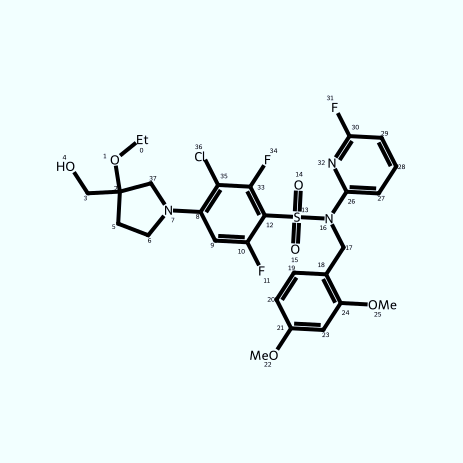 CCOC1(CO)CCN(c2cc(F)c(S(=O)(=O)N(Cc3ccc(OC)cc3OC)c3cccc(F)n3)c(F)c2Cl)C1